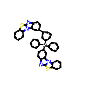 c1ccc([Si](c2ccccc2)(c2cccc(-c3ccc4nc5sc6ccccc6n5c4c3)c2)c2ccc3nc4sc5ccccc5n4c3c2)cc1